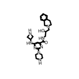 O=C(NCC(O)CN1CCc2ccccc2C1)c1cc(NC2CNC2)nc(N2CCNCC2)n1